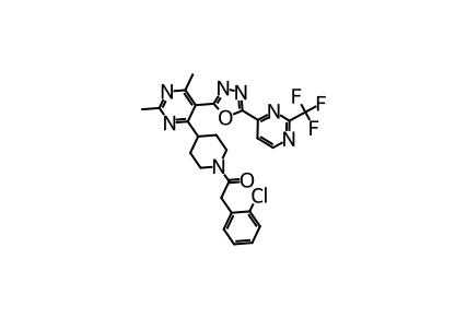 Cc1nc(C)c(-c2nnc(-c3ccnc(C(F)(F)F)n3)o2)c(C2CCN(C(=O)Cc3ccccc3Cl)CC2)n1